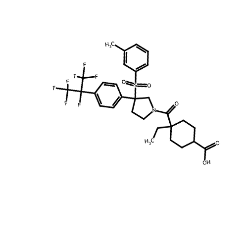 CCC1(C(=O)N2CCC(c3ccc(C(F)(C(F)(F)F)C(F)(F)F)cc3)(S(=O)(=O)c3cccc(C)c3)C2)CCC(C(=O)O)CC1